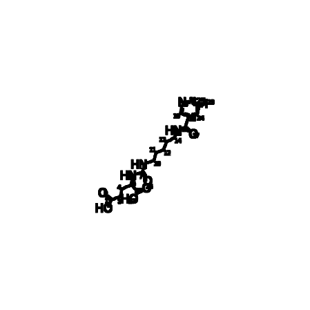 O=C(O)CCC(NC(=O)NCCCCCNC(=O)c1cncc([125I])c1)C(=O)O